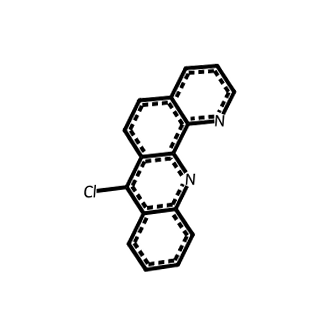 Clc1c2ccccc2nc2c1ccc1cccnc12